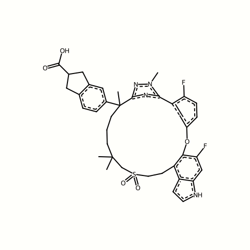 Cn1nc2nc1-c1cc(ccc1F)Oc1c(F)cc3[nH]ccc3c1CCS(=O)(=O)CC(C)(C)CCCC2(C)c1ccc2c(c1)CC(C(=O)O)C2